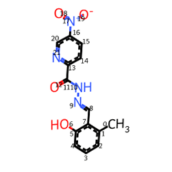 Cc1cccc(O)c1C=NNC(=O)c1ccc([N+](=O)[O-])cn1